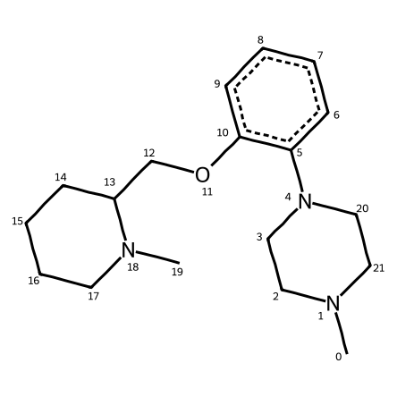 CN1CCN(c2ccccc2OCC2CCCCN2C)CC1